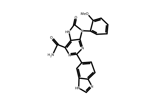 COc1ccccc1-n1c(=O)[nH]c2c(C(N)=O)nc(-c3ccc4nc[nH]c4c3)nc21